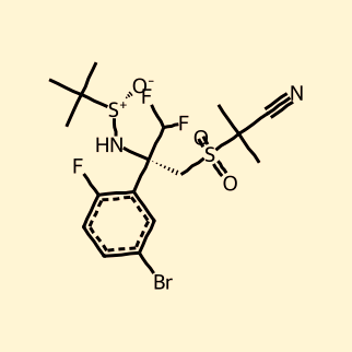 CC(C)(C)[S@+]([O-])N[C@](CS(=O)(=O)C(C)(C)C#N)(c1cc(Br)ccc1F)C(F)F